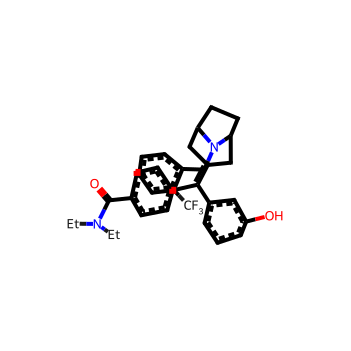 CCN(CC)C(=O)c1ccc(C(=C2CC3CCC(C2)N3Cc2ccccc2C(F)(F)F)c2cccc(O)c2)cc1